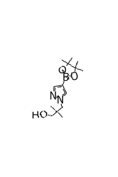 CC(C)(CO)Cn1cc(B2OC(C)(C)C(C)(C)O2)cn1